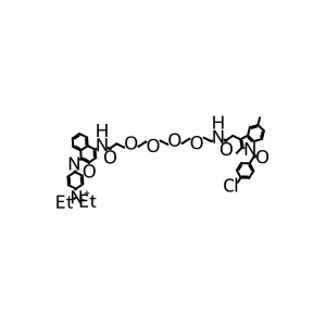 CC[N+](CC)=c1ccc2nc3c(cc(NC(=O)CCOCCOCCOCCOCCNC(=O)Cc4c(C)n(C(=O)c5ccc(Cl)cc5)c5ccc(C)cc45)c4ccccc43)oc-2c1